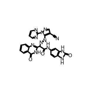 N#Cc1cnn(-c2ncccn2)c1N=NC(C(=O)Nc1ccc2[nH]c(=O)[nH]c2c1)c1nc2ccccc2c(=O)[nH]1